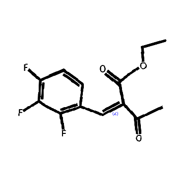 CCOC(=O)/C(=C\c1ccc(F)c(F)c1F)C(C)=O